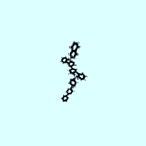 C1=C(c2ccccc2)CCC(c2ccc(-n3c4ccccc4c4cc(-c5ccc6c(c5)c5ccccc5n6-c5ccc6ccccc6c5)ccc43)cc2)=C1